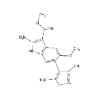 COC(=O)c1c(N)[nH]c2cc(-c3c(C)noc3C)c(OC)cc12